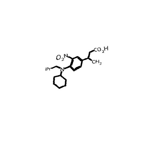 CC(C)CN(c1ccc(C(C)CC(=O)O)cc1[N+](=O)[O-])C1CCCCC1